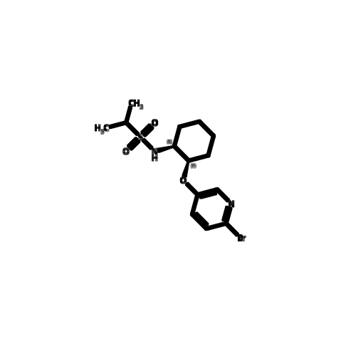 CC(C)S(=O)(=O)N[C@H]1CCCC[C@H]1Oc1ccc(Br)nc1